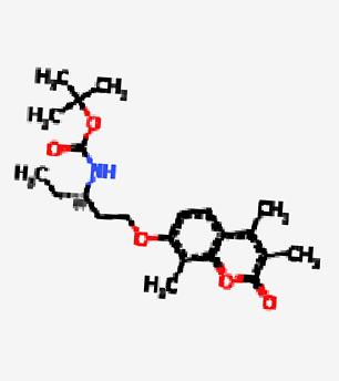 CC[C@@H](CCOc1ccc2c(C)c(C)c(=O)oc2c1C)NC(=O)OC(C)(C)C